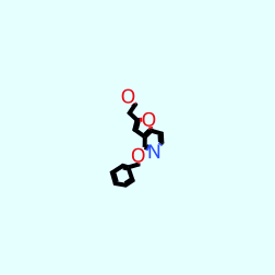 O=CCc1cc2c(OCc3ccccc3)nccc2o1